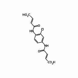 O=C(O)C=CC(=O)Nc1ccc(NC(=O)C=CC(=O)O)c(Cl)c1